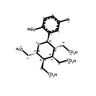 COc1ccc(Br)cc1[C@@H]1O[C@@H](COC(C)=O)[C@H](CC(=O)O)[C@H](CC(=O)O)[C@H]1CC(=O)O